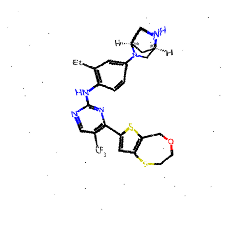 CCc1cc(N2C[C@H]3C[C@@H]2CN3)ccc1Nc1ncc(C(F)(F)F)c(-c2cc3c(s2)COCCS3)n1